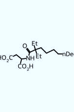 CCCCCCCCCCCCCCC(CC)(CC)C(=O)NC(CC(=O)O)C(=O)O